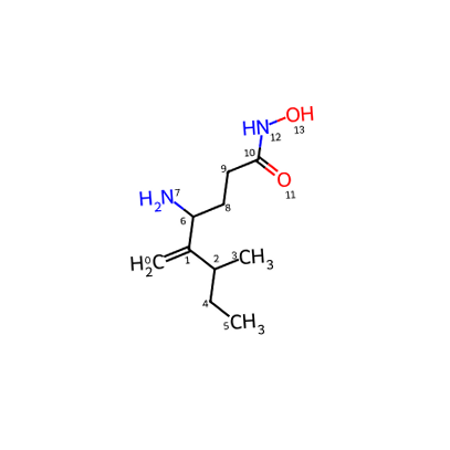 C=C(C(C)CC)C(N)CCC(=O)NO